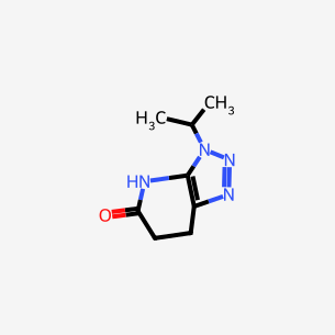 CC(C)n1nnc2c1NC(=O)CC2